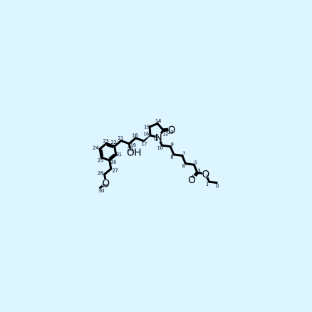 CCOC(=O)CCCCCCN1C(=O)CC[C@@H]1CCC(O)Cc1cccc(CCOC)c1